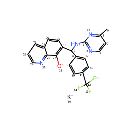 Cc1ccnc(NC(c2ccc(C(F)(F)F)cc2)c2ccc3cccnc3c2[O-])n1.[K+]